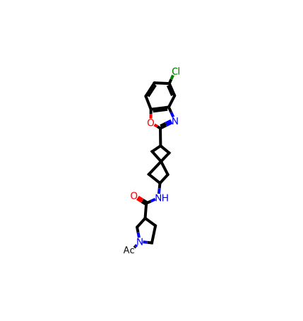 CC(=O)N1CCC(C(=O)NC2CC3(C2)CC(c2nc4cc(Cl)ccc4o2)C3)C1